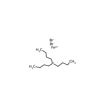 CCCCP(CCCC)CCCC.[Br-].[Br-].[Fe+2]